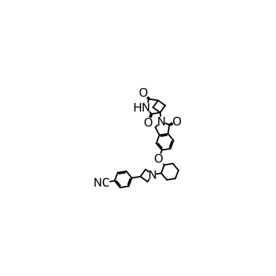 N#Cc1ccc(C2CN(C3CCCC[C@H]3Oc3ccc4c(c3)CN(C35CC(C3)C(=O)NC5=O)C4=O)C2)cc1